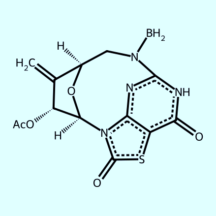 BN1C[C@H]2O[C@H]([C@H](OC(C)=O)C2=C)n2c(=O)sc3c(=O)[nH]c1nc32